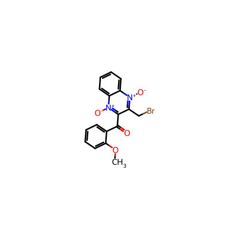 COc1ccccc1C(=O)c1c(CBr)[n+]([O-])c2ccccc2[n+]1[O-]